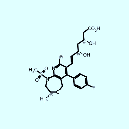 CC(C)c1nc2c(c(-c3ccc(F)cc3)c1C=C[C@@H](O)C[C@@H](O)CC(=O)O)CO[C@H](C)CN2S(C)(=O)=O